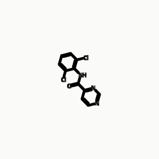 O=C(Nc1c(Cl)cccc1Cl)c1ccncn1